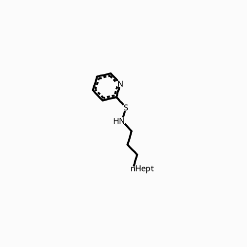 CCCCCCCCCCNSc1ccccn1